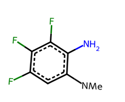 CNc1cc(F)c(F)c(F)c1N